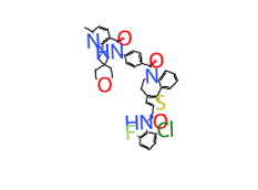 Cc1ccc(C(=O)Nc2ccc(C(=O)N3CCc4cc(C(=O)Nc5c(F)cccc5Cl)sc4-c4ccccc43)cc2)c(N2CC3(CCOCC3)C2)n1